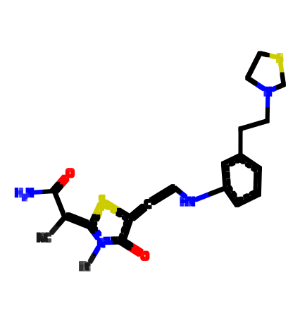 CCn1c(=O)c(=C=CNc2cccc(CCN3CCSC3)c2)s/c1=C(/C#N)C(N)=O